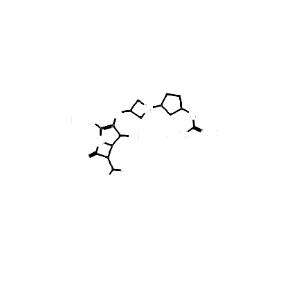 CC(O)C1C(=O)N2C(C(=O)O)=C(SC3CN(C4CCC(NC(=N)N)C4)C3)C(C)C12